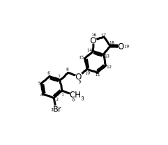 Cc1c(Br)cccc1COc1ccc2c(c1)OCC2=O